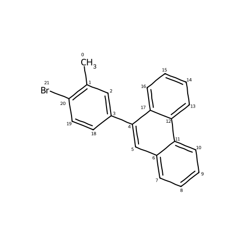 Cc1cc(-c2cc3ccccc3c3ccccc23)ccc1Br